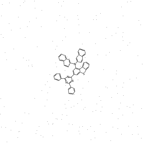 c1ccc(-c2nc(-c3ccccc3)nc(-c3cc(N(c4ccc5ccccc5c4)c4ccc5ccccc5c4)c4c(c3)sc3ccccc34)n2)cc1